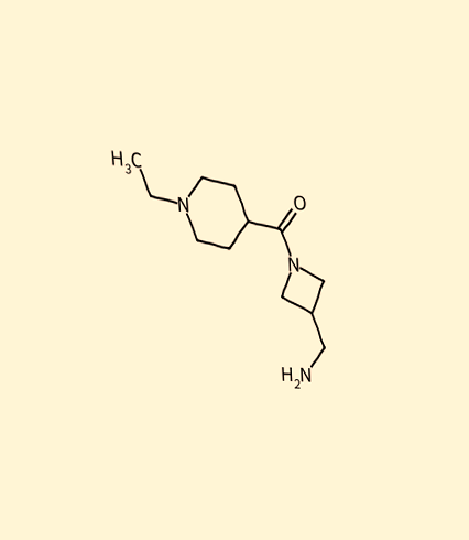 CCN1CCC(C(=O)N2CC(CN)C2)CC1